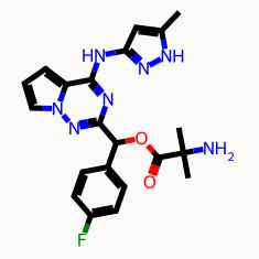 Cc1cc(Nc2nc(C(OC(=O)C(C)(C)N)c3ccc(F)cc3)nn3cccc23)n[nH]1